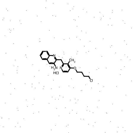 Cc1c(OCCCCCl)ccnc1Cc1nc2ccccc2cc1N.Cl